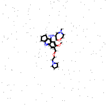 COc1cc2c(N[C@@H]3COCCN(C)C3)c3c(nc2cc1COCCN1CCCC1)CCC3